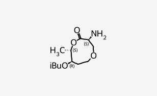 CC(C)CO[C@@H]1CCOC[C@H](N)C(=O)O[C@H]1C